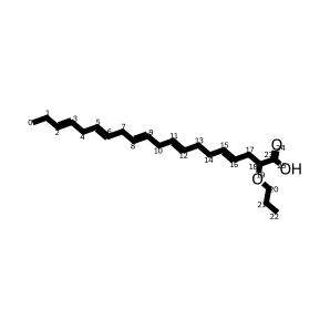 CCC=CCC=CCC=CCC=CCCC=CCC(OCCC)C(=O)O